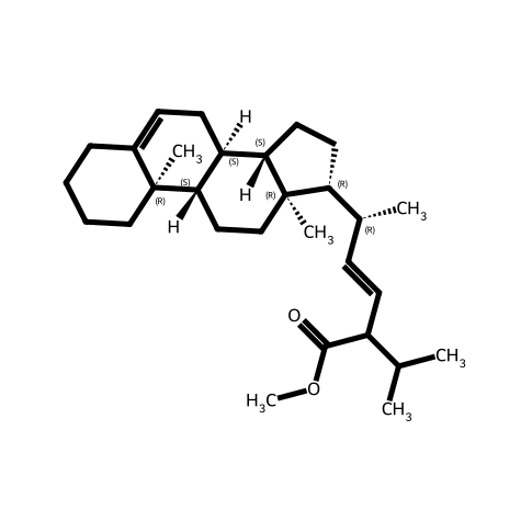 COC(=O)C(C=C[C@@H](C)[C@H]1CC[C@H]2[C@@H]3CC=C4CCCC[C@]4(C)[C@H]3CC[C@]12C)C(C)C